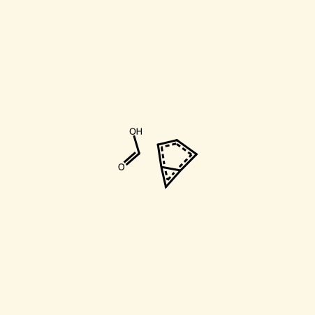 O=CO.c1cc2cc-2c1